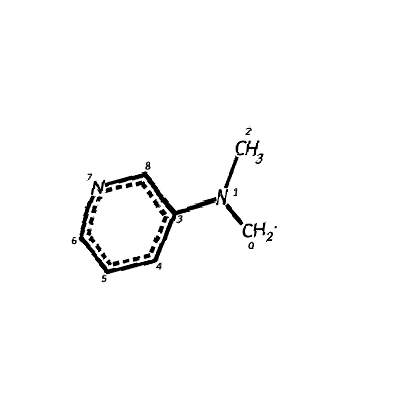 [CH2]N(C)c1cccnc1